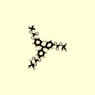 CC(C)(C)OC(=O)Oc1ccc(C(c2ccc(OC(=O)OC(C)(C)C)cc2)c2ccc(OC(=O)OC(C)(C)C)cc2)cc1